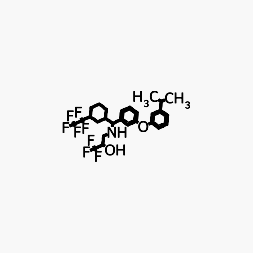 CC(C)c1cccc(Oc2cccc(C(NCC(O)C(F)(F)F)C3CCCC(C(F)(F)C(F)(F)F)C3)c2)c1